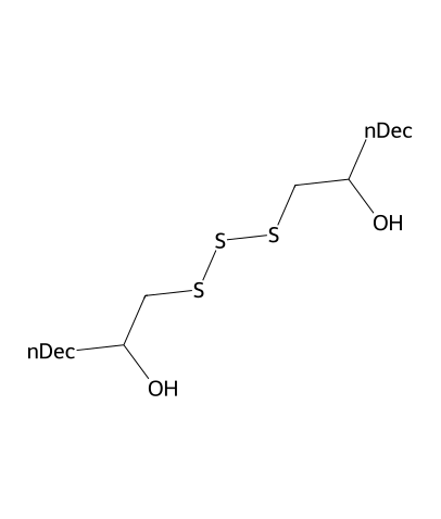 CCCCCCCCCCC(O)CSSSCC(O)CCCCCCCCCC